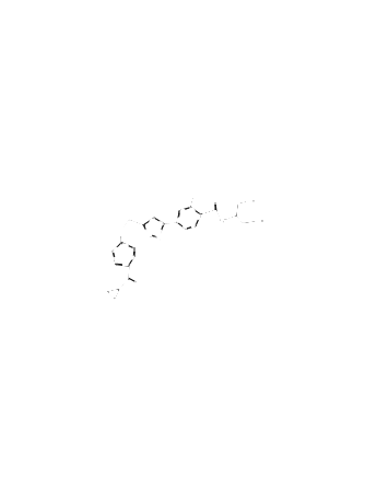 C[C@@H](Oc1ccc(C(=O)C2CC2)cc1)c1cc(-c2ccc(C(=O)NC(CO)CO)c(F)c2)ns1